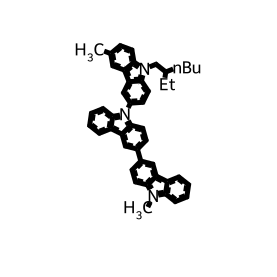 CCCCC(CC)Cn1c2ccc(C)cc2c2cc(-n3c4ccccc4c4cc(-c5ccc6c(c5)c5ccccc5n6C)ccc43)ccc21